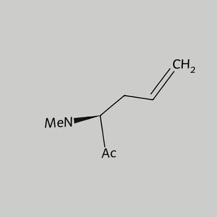 C=CC[C@H](NC)C(C)=O